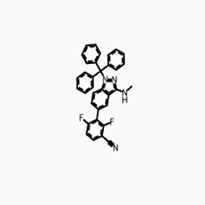 CNc1nn(C(c2ccccc2)(c2ccccc2)c2ccccc2)c2ccc(-c3c(F)ccc(C#N)c3F)cc12